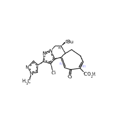 Cn1cc(-c2nn3c(c2Cl)/C2=C/C(=O)/C(C(=O)O)=C\CCC2[C@H](C(C)(C)C)C3)cn1